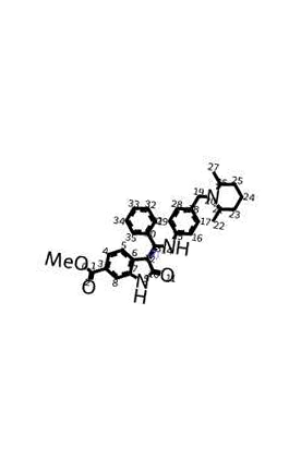 COC(=O)c1ccc2c(c1)NC(=O)/C2=C(\Nc1ccc(CN2C(C)CCCC2C)cc1)c1ccccc1